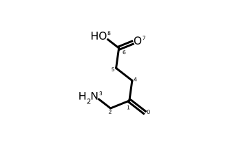 C=C(CN)CCC(=O)O